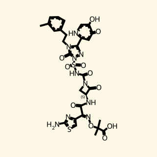 Cc1cccc(CCn2c(-c3cc(=O)c(O)c[nH]3)nn(S(=O)(=O)NC(=O)N3C[C@H](NC(=O)C(=NOC(C)(C)C(=O)O)c4csc(N)n4)C3=O)c2=O)c1